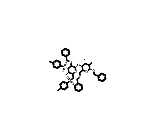 Cc1ccc(S(=O)(=O)CC2O[C@@H](O[C@@H]3C(COCc4ccccc4)O[C@@H](OCc4ccccc4)C(C)[C@H]3C)C(OCc3ccccc3)[C@@H](S(=O)(=O)c3ccc(C)cc3)[C@@H]2C)cc1